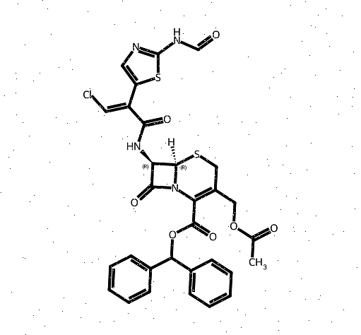 CC(=O)OCC1=C(C(=O)OC(c2ccccc2)c2ccccc2)N2C(=O)[C@@H](NC(=O)C(=CCl)c3cnc(NC=O)s3)[C@H]2SC1